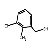 Cc1c(Cl)cccc1CS